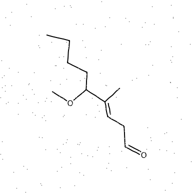 CCCCC(OC)/C(C)=C/CC=O